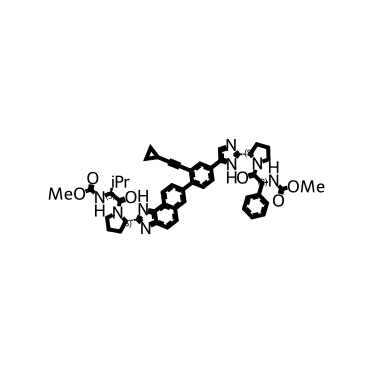 COC(=O)N[C@H](C(=O)N1CCC[C@H]1c1nc2ccc3cc(-c4ccc(-c5cnc([C@@H]6CCCN6C(=O)[C@H](NC(=O)OC)c6ccccc6)[nH]5)cc4C#CC4CC4)ccc3c2[nH]1)C(C)C